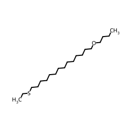 CCCCOCCCCCCCCCCCCCCSCC